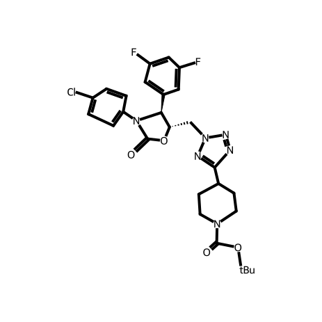 CC(C)(C)OC(=O)N1CCC(c2nnn(C[C@@H]3OC(=O)N(c4ccc(Cl)cc4)[C@H]3c3cc(F)cc(F)c3)n2)CC1